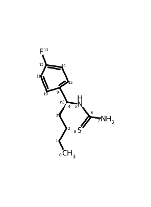 CCCC[C@H](NC(N)=S)c1ccc(F)cc1